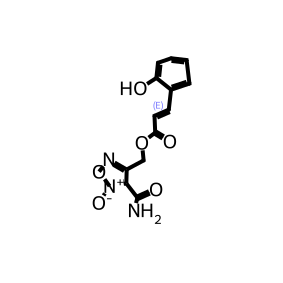 NC(=O)c1c(COC(=O)/C=C/c2ccccc2O)no[n+]1[O-]